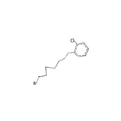 Clc1ccccc1CCCCCCCBr